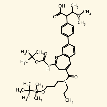 CCCN(CCCO[Si](C)(C)C(C)(C)C)C(=O)C1=Cc2ccc(-c3ccc(C(C(=O)O)C(C)N(C)C)cc3)cc2N=C(NC(=O)OC(C)(C)C)C1